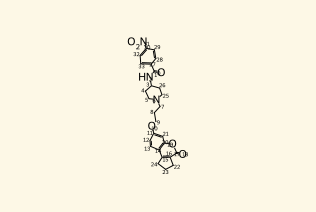 O=C(NC1CCN(CCCOc2ccc3c4c(c(=O)oc3c2)CCC4)CC1)c1ccc([N+](=O)[O-])cc1